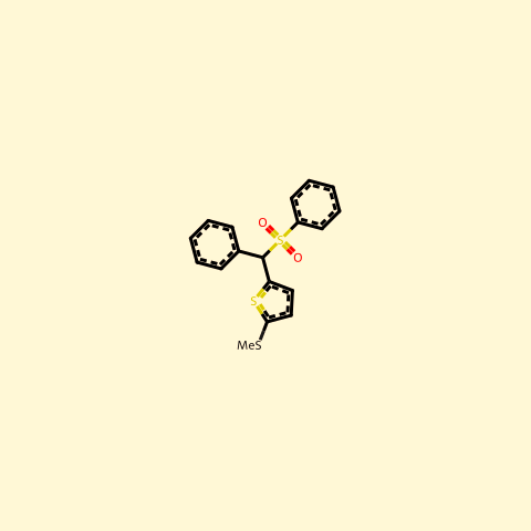 CSc1ccc(C(c2ccccc2)S(=O)(=O)c2ccccc2)s1